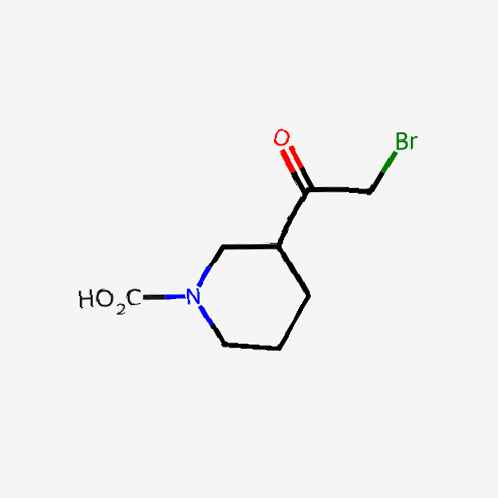 O=C(CBr)C1CCCN(C(=O)O)C1